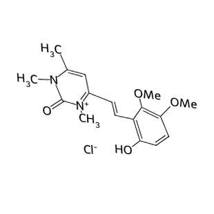 COc1ccc(O)c(C=Cc2cc(C)n(C)c(=O)[n+]2C)c1OC.[Cl-]